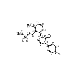 Cc1ccc(-n2ccn(-c3cccc(Br)c3CO[Si](C)(C)C(C)(C)C)c2=O)cc1